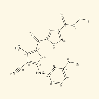 CCOC(=O)c1cc(C(=O)c2sc(Nc3cccc(SC)c3)c(C#N)c2N)on1